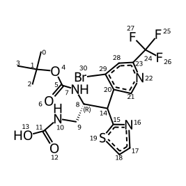 CC(C)(C)OC(=O)N[C@@H](CNC(=O)O)C(c1nccs1)c1cnc(C(F)(F)F)cc1Br